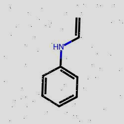 C=[C]Nc1ccccc1